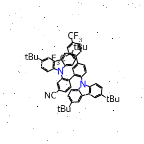 CC(C)(C)c1ccc2c(c1)c1cc(C(C)(C)C)ccc1n2-c1ccc(-c2ccc(C(F)(F)F)cc2C(F)(F)F)cc1-c1ccc(C#N)cc1-n1c2ccc(C(C)(C)C)cc2c2cc(C(C)(C)C)ccc21